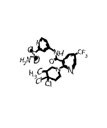 CC1CN(c2ncc(C(F)(F)F)cc2C(=O)Nc2ccnc(S(N)(=O)=O)c2)CCC1(Cl)Cl